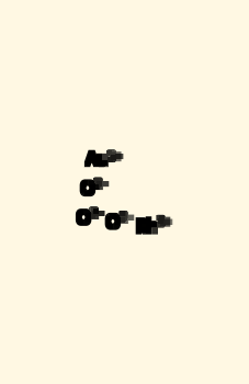 [Au+3].[O-2].[O-2].[O-2].[Rh+3]